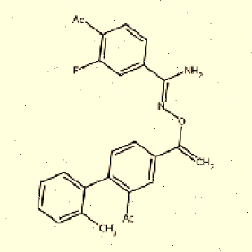 C=C(O/N=C(\N)c1ccc(C(C)=O)c(F)c1)c1ccc(-c2ccccc2C)c(C(C)=O)c1